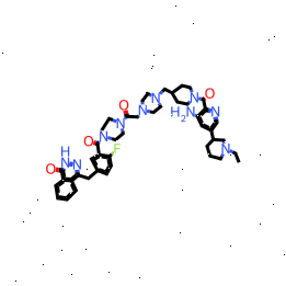 CCN1CCCC(c2cnc(C(=O)N3CCC(CN4CCN(CC(=O)N5CCN(C(=O)c6cc(Cc7n[nH]c(=O)c8ccccc78)ccc6F)CC5)CC4)CC3)c(N)c2)C1